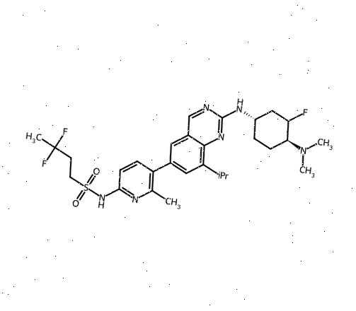 Cc1nc(NS(=O)(=O)CCC(C)(F)F)ccc1-c1cc(C(C)C)c2nc(N[C@H]3CC[C@H](N(C)C)C(F)C3)ncc2c1